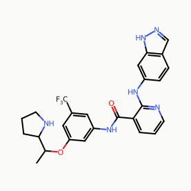 CC(Oc1cc(NC(=O)c2cccnc2Nc2ccc3cn[nH]c3c2)cc(C(F)(F)F)c1)C1CCCN1